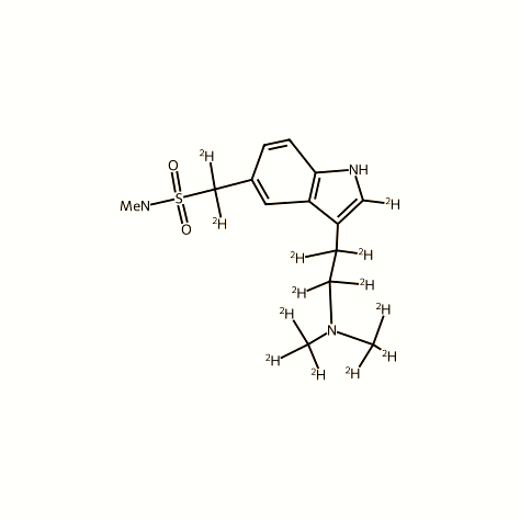 [2H]c1[nH]c2ccc(C([2H])([2H])S(=O)(=O)NC)cc2c1C([2H])([2H])C([2H])([2H])N(C([2H])([2H])[2H])C([2H])([2H])[2H]